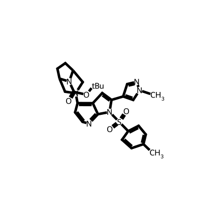 Cc1ccc(S(=O)(=O)n2c(-c3cnn(C)c3)cc3c(N4CC5CCC(C4)N5C(=O)OC(C)(C)C)ccnc32)cc1